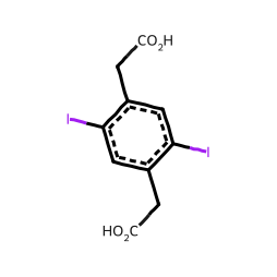 O=C(O)Cc1cc(I)c(CC(=O)O)cc1I